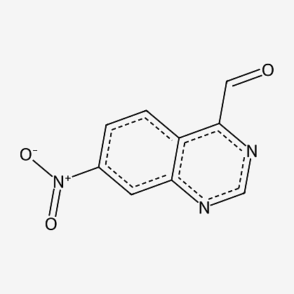 O=Cc1ncnc2cc([N+](=O)[O-])ccc12